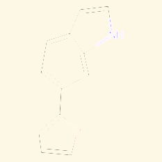 c1coc(-c2ccc3cc[nH]c3c2)c1